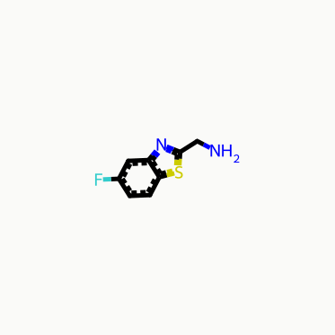 NCc1nc2cc(F)ccc2s1